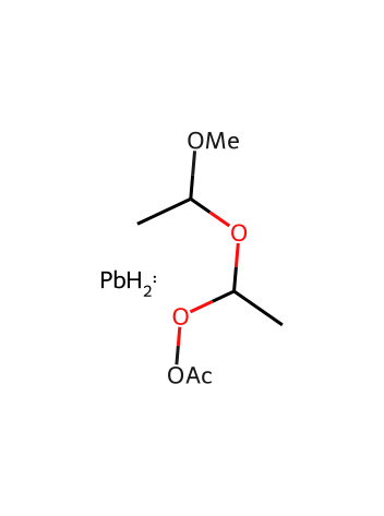 COC(C)OC(C)OOC(C)=O.[PbH2]